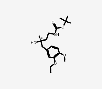 CCOc1cc(C[C@](C)(O)CCNC(=O)OC(C)(C)C)ccc1OC